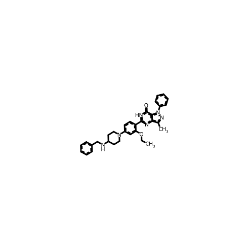 CCOc1cc(N2CCC(NCc3ccccc3)CC2)ccc1-c1nc2c(C)nn(-c3ccccc3)c2c(=O)[nH]1